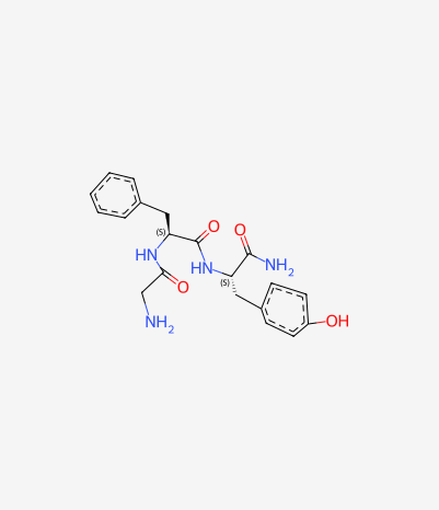 NCC(=O)N[C@@H](Cc1ccccc1)C(=O)N[C@@H](Cc1ccc(O)cc1)C(N)=O